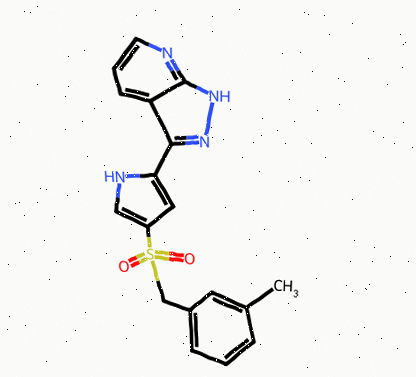 Cc1cccc(CS(=O)(=O)c2c[nH]c(-c3n[nH]c4ncccc34)c2)c1